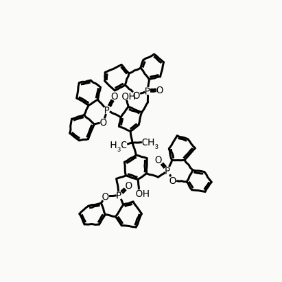 CC(C)(c1cc(CP2(=O)Oc3ccccc3-c3ccccc32)c(O)c(CP2(=O)Oc3ccccc3-c3ccccc32)c1)c1cc(CP2(=O)Oc3ccccc3-c3ccccc32)c(O)c(P2(=O)Oc3ccccc3-c3ccccc32)c1